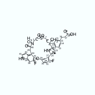 CN1CCS(=O)(=O)CCC(C)(c2cccc(CCC(=O)O)c2)c2cnc([nH]2)-c2cc(ccc2F)Oc2c(F)cc3[nH]ccc3c2CC1=O